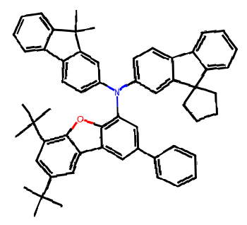 CC(C)(C)c1cc(C(C)(C)C)c2oc3c(N(c4ccc5c(c4)C(C)(C)c4ccccc4-5)c4ccc5c(c4)C4(CCCC4)c4ccccc4-5)cc(-c4ccccc4)cc3c2c1